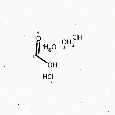 Cl.Cl.O.O.O=CO